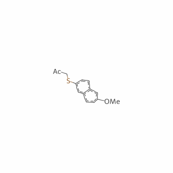 COc1ccc2cc(SCC(C)=O)ccc2c1